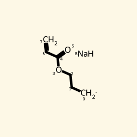 [CH2]CCOC(=O)C=C.[NaH]